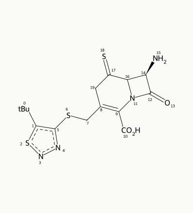 CC(C)(C)c1snnc1SCC1=C(C(=O)O)N2C(=O)[C@H](N)C2C(=S)C1